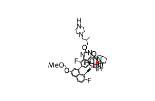 COCOc1cc(-c2ccc3c(N4CC5CCC(C4)N5C(=O)OC(C)(C)C)nc(OCC(C)CN4CCNCC4)nc3c2F)c2c(C#C[Si](C(C)C)(C(C)C)C(C)C)c(F)ccc2c1